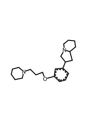 c1cc(OCCCN2CCCCC2)cc(C2CC3CCCCN3C2)c1